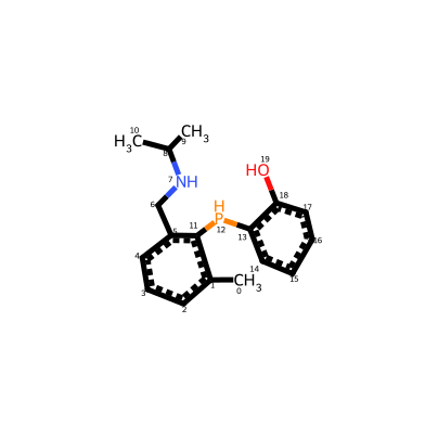 Cc1cccc(CNC(C)C)c1Pc1ccccc1O